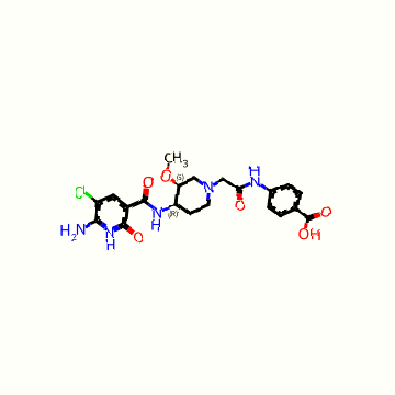 CO[C@H]1CN(CC(=O)Nc2ccc(C(=O)O)cc2)CC[C@H]1NC(=O)c1cc(Cl)c(N)[nH]c1=O